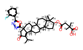 CC(C)C1=C2[C@H]3CC[C@@H]4[C@@]5(C)CC[C@H](OC(=O)CC(C)(C)C(=O)O)C(C)(C)[C@@H]5CC[C@@]4(C)[C@]3(C)CC[C@@]2(c2nnc(-c3ccccc3F)o2)CC1=O